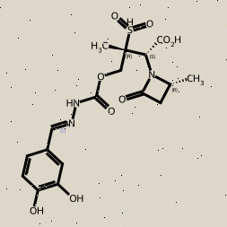 C[C@@H]1CC(=O)N1[C@@H](C(=O)O)[C@](C)(COC(=O)N/N=C/c1ccc(O)c(O)c1)[SH](=O)=O